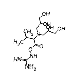 CC(C)C(C(=O)ONC(=N)N)N(CC(O)CO)CC(O)CO